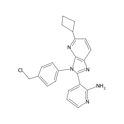 Nc1ncccc1-c1nc2ccc(C3CCC3)nc2n1-c1ccc(CCl)cc1